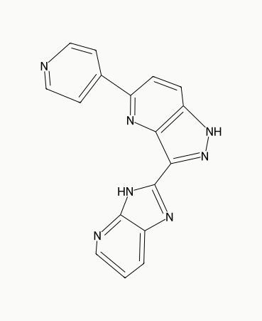 c1cnc2[nH]c(-c3n[nH]c4ccc(-c5ccncc5)nc34)nc2c1